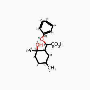 CC1CCC(O)(C(C)C)C(C(Oc2ccccc2)C(=O)O)C1